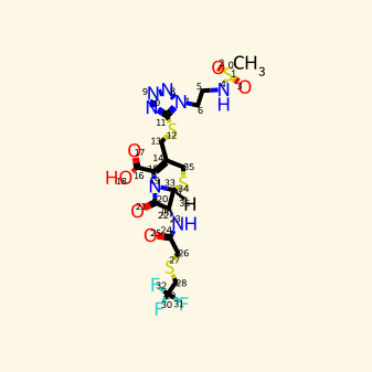 CS(=O)(=O)NCCn1nnnc1SCC1=C(C(=O)O)N2C(=O)[C@@H](NC(=O)CSCC(F)(F)F)[C@H]2SC1